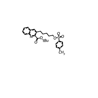 Cc1ccc(S(=O)(=O)OCCCCCc2cc3ccccc3nc2C(=O)OC(C)(C)C)cc1